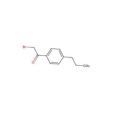 CC(=O)OCCc1ccc(C(=O)CBr)cc1